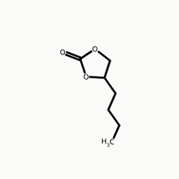 CCCCC1COC(=O)O1